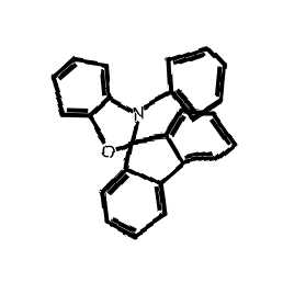 c1ccc(N2c3ccccc3OC23c2ccccc2-c2ccccc23)cc1